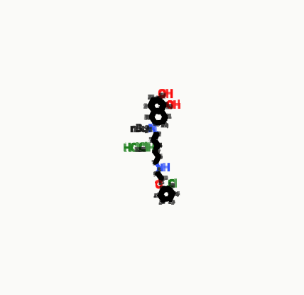 CCCCN(CCCCCCNCCOc1ccccc1Cl)C1CCc2c(ccc(O)c2O)C1.Cl.Cl